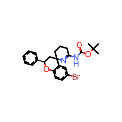 CC(C)(C)OC(=O)NC1=NC2(CCC1)CC(c1ccccc1)Oc1ccc(Br)cc12